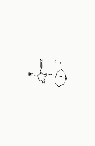 C.N#Cc1c(Br)cnn1CC12CCCC(CCC1)C2